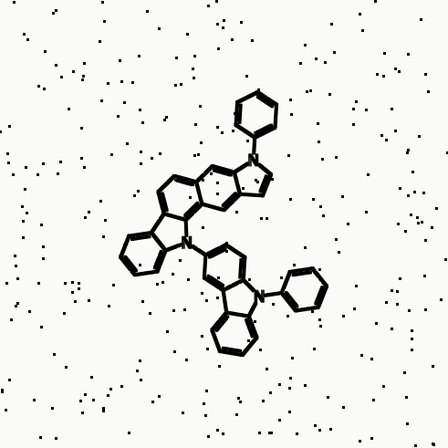 c1ccc(-n2ccc3cc4c(ccc5c6ccccc6n(-c6ccc7c(c6)c6ccccc6n7-c6ccccc6)c45)cc32)cc1